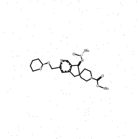 CC(C)(C)OC(=O)N1CCC2(CC1)Cc1cc(CO[C@@H]3CCCCO3)ncc1/C2=N\[S@+]([O-])C(C)(C)C